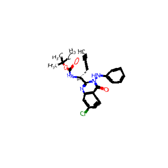 C#CC[C@@H](NC(=O)OC(C)(C)C)c1nc2cc(Cl)ccc2c(=O)n1Nc1ccccc1